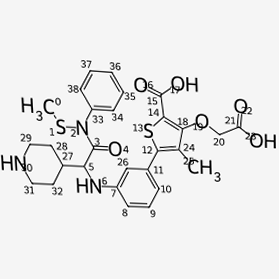 CSN(C(=O)C(Nc1cccc(-c2sc(C(=O)O)c(OCC(=O)O)c2C)c1)C1CCNCC1)c1ccccc1